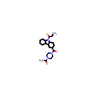 C=CC(=O)n1c2ccccc2c2cc(C(=O)N3CCN(C(C)=O)CC3)ccc21